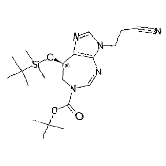 CC(C)(C)OC(=O)N1C=Nc2c(ncn2CCC#N)[C@H](O[Si](C)(C)C(C)(C)C)C1